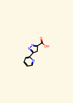 O=C(O)C1=NN=C(c2ccccn2)C1